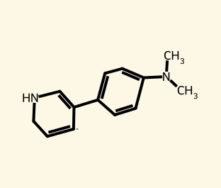 CN(C)c1ccc(C2=CNCC=[C]2)cc1